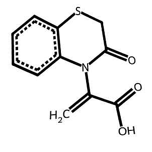 C=C(C(=O)O)N1C(=O)CSc2ccccc21